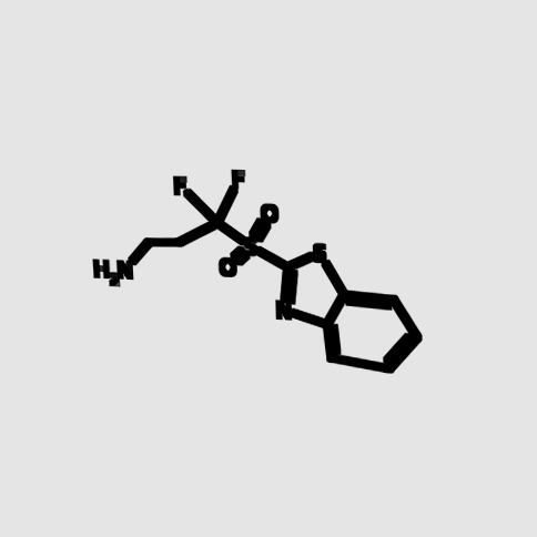 NCCC(F)(F)S(=O)(=O)c1nc2ccccc2s1